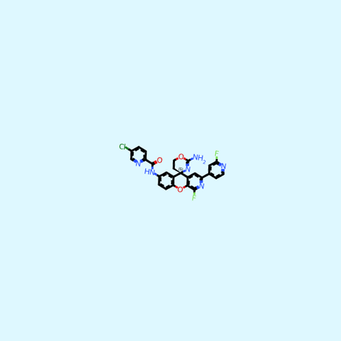 NC1=N[C@@]2(CCO1)c1cc(NC(=O)c3ccc(Cl)cn3)ccc1Oc1c2cc(-c2ccnc(F)c2)nc1F